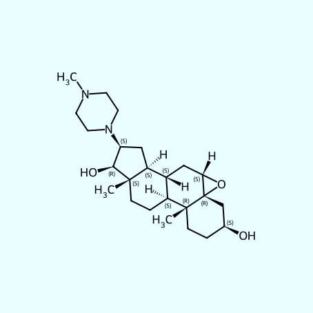 CN1CCN([C@H]2C[C@H]3[C@@H]4C[C@@H]5O[C@@]56C[C@@H](O)CC[C@]6(C)[C@H]4CC[C@]3(C)[C@H]2O)CC1